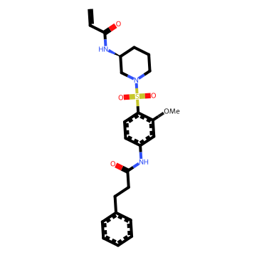 C=CC(=O)N[C@H]1CCCN(S(=O)(=O)c2ccc(NC(=O)CCc3ccccc3)cc2OC)C1